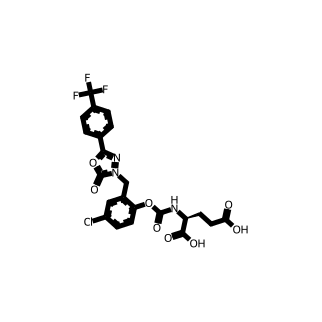 O=C(O)CC[C@H](NC(=O)Oc1ccc(Cl)cc1Cn1nc(-c2ccc(C(F)(F)F)cc2)oc1=O)C(=O)O